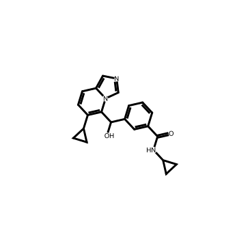 O=C(NC1CC1)c1cccc(C(O)c2c(C3CC3)ccc3cncn23)c1